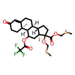 CSCOC(=O)C1(OCSC)CC[C@H]2[C@@H]3CCC4=CC(=O)CC[C@]4(C)[C@@H]3C(OC(=O)C(F)(F)F)C[C@@]21C